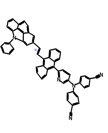 N#Cc1ccc(N(c2ccc(C#N)cc2)c2ccc(-c3c4ccccc4c(/C=C/c4cc5ccc6cccc7c6c5c(c4)n7-c4ccccc4)c4ccccc34)nc2)cc1